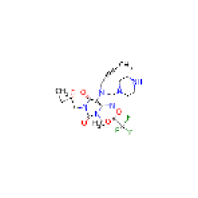 CC#CCN1c2c(n(C)c(=O)n(CC(=O)CC)c2=O)N(OC(=O)C(F)(F)F)C1N1CCNCC1